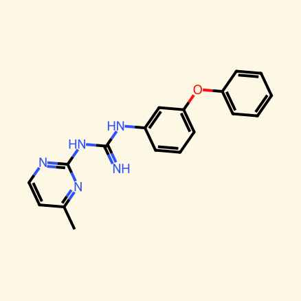 Cc1ccnc(NC(=N)Nc2cccc(Oc3ccccc3)c2)n1